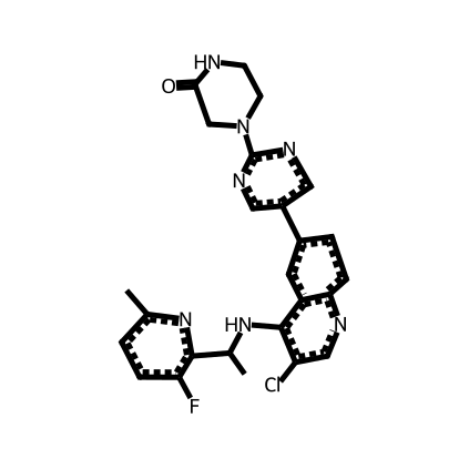 Cc1ccc(F)c(C(C)Nc2c(Cl)cnc3ccc(-c4cnc(N5CCNC(=O)C5)nc4)cc23)n1